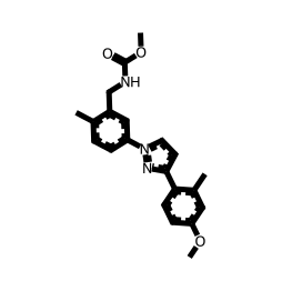 COC(=O)NCc1cc(-n2ccc(-c3ccc(OC)cc3C)n2)ccc1C